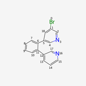 Brc1cncc(-c2ccccc2-c2cccnc2)c1